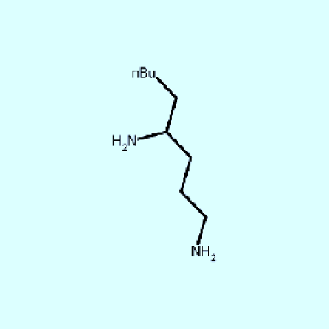 CCCCCC(N)CCCN